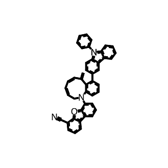 C=C1/C=C\C=C/CN(c2cccc3c2oc2c(C#N)cccc23)c2cccc(-c3ccc4c(c3)c3ccccc3n4-c3ccccc3)c21